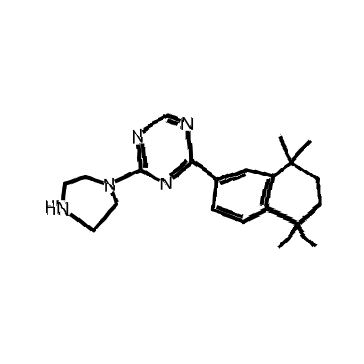 CC1(C)CCC(C)(C)c2cc(-c3ncnc(N4CCNCC4)n3)ccc21